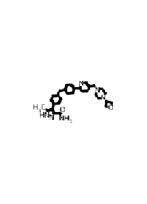 Cc1[nH]nc(C(N)=O)c1-c1ccc(Cc2ccc(-c3ccc(CN4CCN(C5COC5)CC4)cn3)cc2)cc1